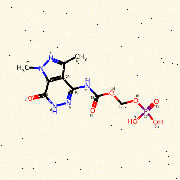 Cc1nn(C)c2c(=O)[nH]nc(NC(=O)OCOP(=O)(O)O)c12